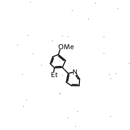 CCc1ccc(OC)cc1-c1ccccn1